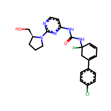 O=C(Nc1ccnc(N2CCC[C@H]2CO)n1)NC1(F)C=CC=C(c2ccc(Cl)cc2)C1